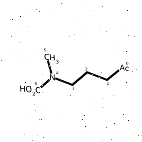 CC(=O)CCCN(C)C(=O)O